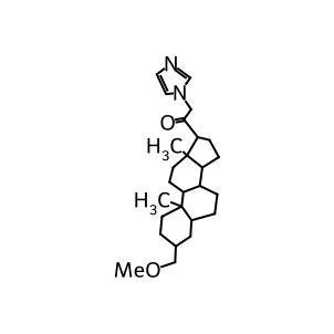 COCC1CCC2(C)C(CCC3C2CCC2(C)C(C(=O)Cn4ccnc4)CCC32)C1